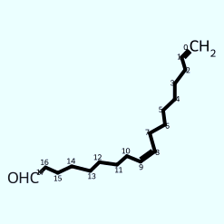 C=CCCCCCC/C=C\CCCCCCCC=O